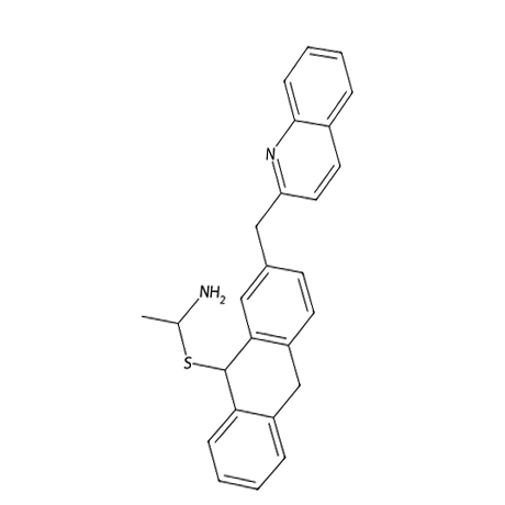 CC(N)SC1c2ccccc2Cc2ccc(Cc3ccc4ccccc4n3)cc21